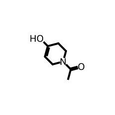 CC(=O)N1CC=C(O)CC1